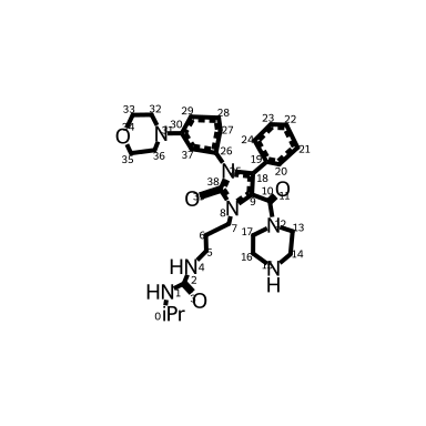 CC(C)NC(=O)NCCCn1c(C(=O)N2CCNCC2)c(-c2ccccc2)n(-c2cccc(N3CCOCC3)c2)c1=O